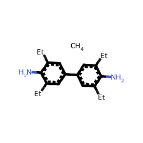 C.CCc1cc(-c2cc(CC)c(N)c(CC)c2)cc(CC)c1N